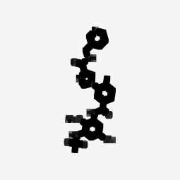 COc1c(NC(=O)c2ccc(C)c(-n3cnc(C(=O)NCc4cccnc4)c3)c2)cc(C(C)(C)C)cc1NS(C)(=O)=O